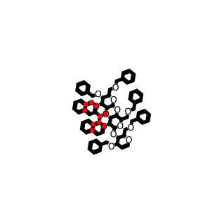 C1=CC(OCc2ccccc2)C(OC2OC(COCc3ccccc3)C(OC3OC(COCc4ccccc4)C(OCc4ccccc4)C(OCc4ccccc4)C3OCc3ccccc3)C(OCc3ccccc3)C2OCc2ccccc2)C(COCc2ccccc2)O1